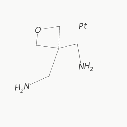 NCC1(CN)COC1.[Pt]